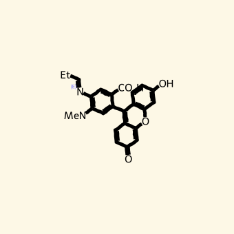 CC/C=N/c1cc(C(=O)O)c(-c2c3ccc(=O)cc-3oc3cc(O)ccc23)cc1NC